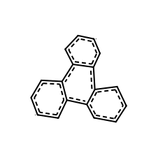 [c]1ccc2c(c1)c1ccccc1c1c[c]ccc12